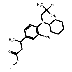 COC(=O)CC(C)c1ccc(N(CC(C)(C)O)C2CCCCC2)c(N)c1